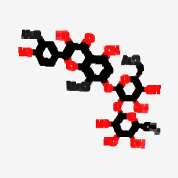 COc1cc(-c2oc3c(OC)c(O[C@@H]4O[C@H](COC(C)=O)[C@@H](O)[C@H](O)[C@H]4O[C@@H]4O[C@@H](C)[C@H](O)[C@@H](O)[C@H]4O)cc(O)c3c(=O)c2O)ccc1O